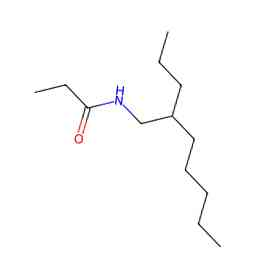 CCCCCC(CCC)CNC(=O)CC